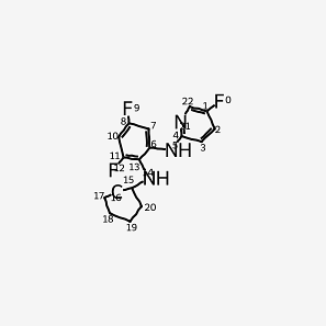 Fc1ccc(Nc2cc(F)cc(F)c2NC2CCCCC2)nc1